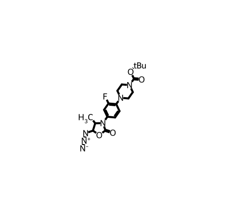 CC1C(N=[N+]=[N-])OC(=O)N1c1ccc(N2CCN(C(=O)OC(C)(C)C)CC2)c(F)c1